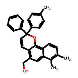 Cc1ccc(C2(c3ccccc3)C=Cc3c(CO)cc4c(C)c(C)ccc4c3O2)cc1